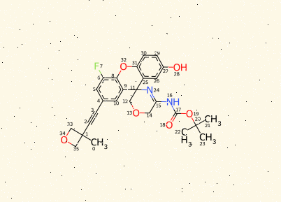 CC1(C#Cc2cc(F)c3c(c2)C2(COCC(NC(=O)OC(C)(C)C)=N2)c2cc(O)ccc2O3)COC1